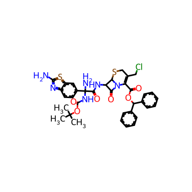 CC(C)(C)OC(=O)NC(N)(C(=O)NC1C(=O)N2C(C(=O)OC(c3ccccc3)c3ccccc3)=C(CCl)CSC12)c1ccc2nc(N)sc2c1